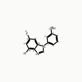 CC(C)(C)c1cccc(-n2cnc3c(F)cc(F)cc32)c1